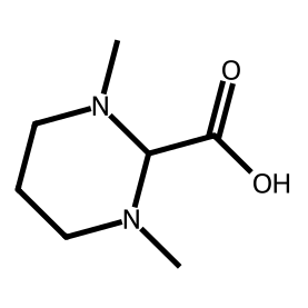 CN1CCCN(C)C1C(=O)O